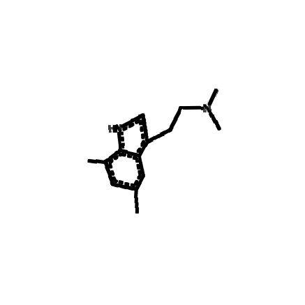 Cc1cc(C)c2[nH]cc(CCN(C)C)c2c1